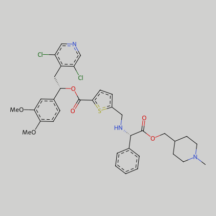 COc1ccc([C@H](Cc2c(Cl)cncc2Cl)OC(=O)c2ccc(CN[C@H](C(=O)OCC3CCN(C)CC3)c3ccccc3)s2)cc1OC